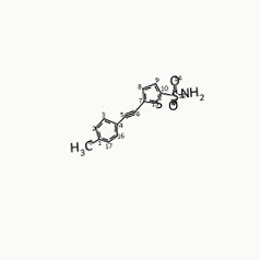 Cc1ccc(C#Cc2ccc(S(N)(=O)=O)s2)cc1